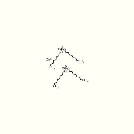 CCCCCCCCOP([O-])(=S)OCCCCCCCC.CCCCCCCCOP([O-])(=S)OCCCCCCCC.[Zn+2]